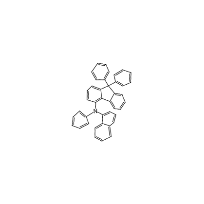 c1ccc(N(c2cccc3c2-c2ccccc2C3(c2ccccc2)c2ccccc2)c2cccc3ccccc23)cc1